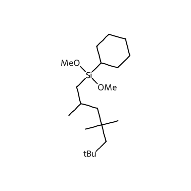 CO[Si](CC(C)CC(C)(C)CC(C)(C)C)(OC)C1CCCCC1